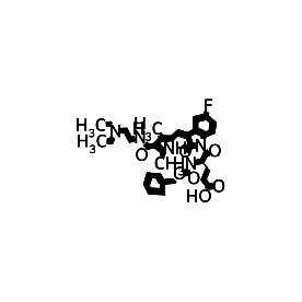 CCN(CC)CCNC(=O)c1c(C)[nH]c(/C=C2\C(=O)N(C(=O)[C@H](CCC(=O)O)NC(=O)OCc3ccccc3)c3ccc(F)cc32)c1C